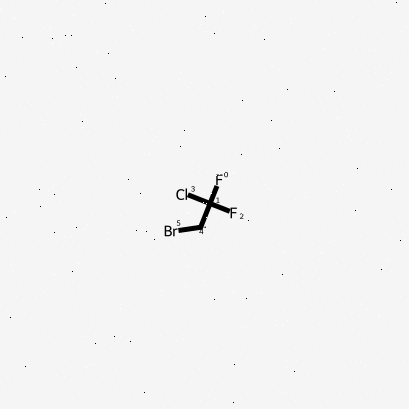 FC(F)(Cl)[CH]Br